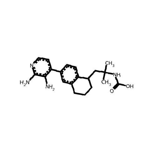 CC(C)(CC1CCCc2cc(-c3ccnc(N)c3N)ccc21)NC(=O)O